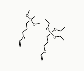 C=COCCC[Si](C)(OC)OC.C=COCCC[Si](OCC)(OCC)OCC